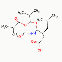 CC(C)C[C@@H](CC(=O)O)C(NC=O)OC(OC(=O)C(C)C)C(C)C